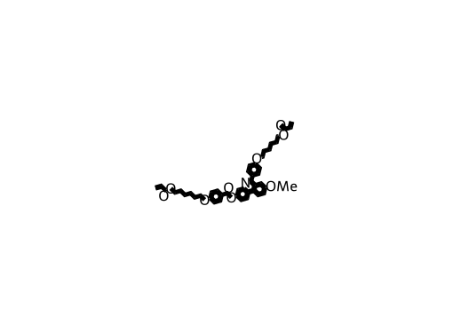 C=CC(=O)OCCCCCCOc1ccc(C(=O)Oc2ccc3c(c2)nc(-c2ccc(OCCCCCCOC(=O)C=C)cc2)c2cc(OC)ccc23)cc1